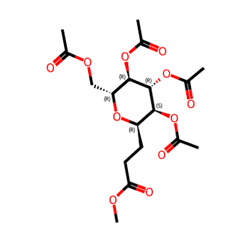 COC(=O)CC[C@H]1O[C@H](COC(C)=O)[C@@H](OC(C)=O)[C@H](OC(C)=O)[C@H]1OC(C)=O